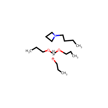 CCCCN1CCC1.CCCO[SiH](OCCC)OCCC